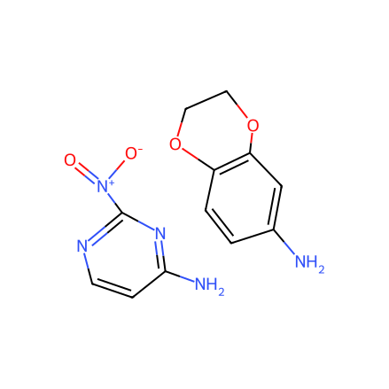 Nc1ccc2c(c1)OCCO2.Nc1ccnc([N+](=O)[O-])n1